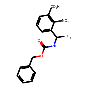 CC(NC(=O)OCc1ccccc1)c1cccc(C(=O)O)c1[N+](=O)[O-]